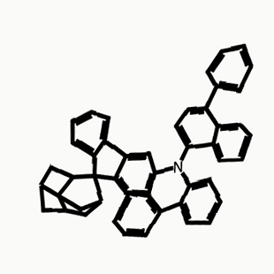 c1ccc(-c2ccccc2N(c2ccc3c(c2)-c2ccccc2C32C3CC4CC(C3)CC2C4)c2ccc(-c3ccccc3)c3ccccc23)cc1